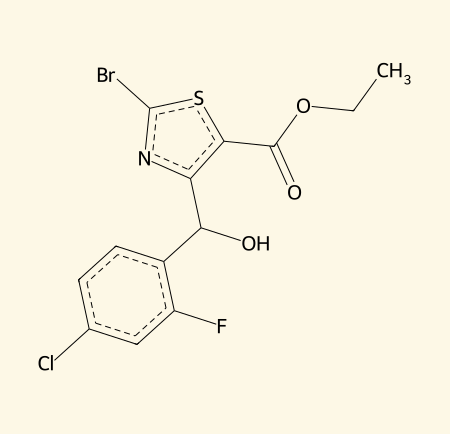 CCOC(=O)c1sc(Br)nc1C(O)c1ccc(Cl)cc1F